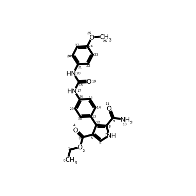 CCOC(=O)c1c[nH]c(C(N)=O)c1-c1ccc(NC(=O)Nc2ccc(OC)cc2)cc1